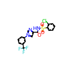 O=C(NS(=O)(=O)c1ccccc1Cl)c1cn(-c2cccc(C(F)(F)F)c2)cn1